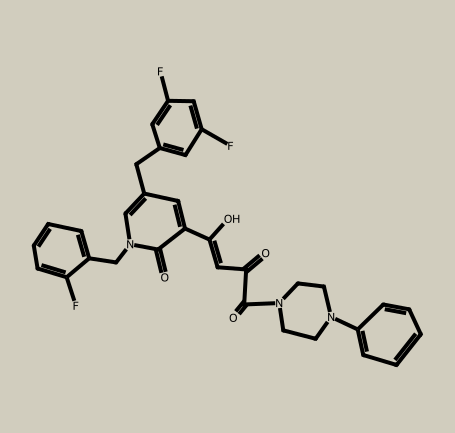 O=C(/C=C(\O)c1cc(Cc2cc(F)cc(F)c2)cn(Cc2ccccc2F)c1=O)C(=O)N1CCN(c2ccccc2)CC1